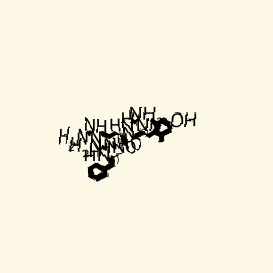 Cc1cc(O)cc(C)c1C[C@H](NC(=N)N)C(=O)N[C@H](CCCNC(=N)N)C(=O)NC[C@H](Cc1ccccc1)NC(=N)N